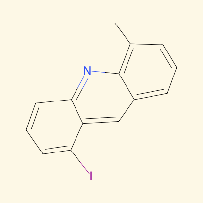 Cc1cccc2cc3c(I)cccc3nc12